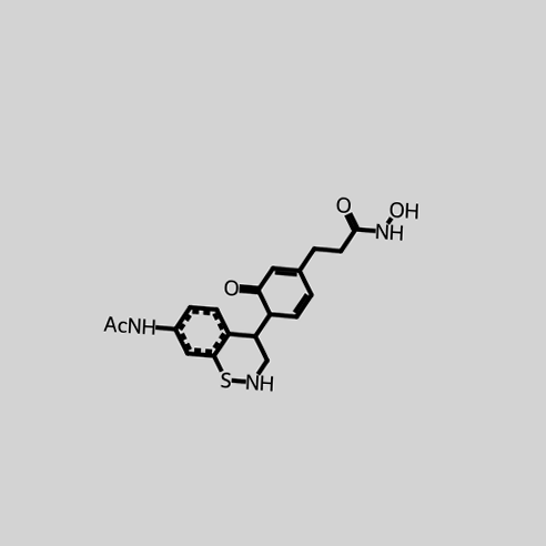 CC(=O)Nc1ccc2c(c1)SNCC2C1C=CC(CCC(=O)NO)=CC1=O